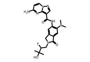 CN(C)c1cc2c(cc1NC(=O)c1cnn3ccc(N)nc13)CN(CC(F)C(C)(C)O)C2=O